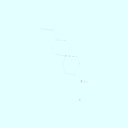 CCC(C)N1CCC2(CCN(C(=O)OC(C)(C)C)CC2)CC1